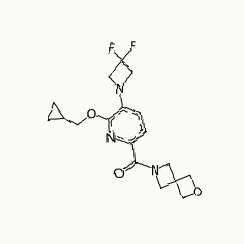 O=C(c1ccc(N2CC(F)(F)C2)c(OCC2CC2)n1)N1CC2(COC2)C1